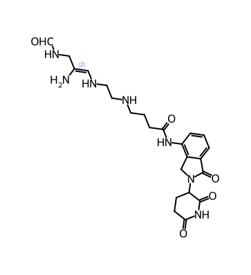 N/C(=C\NCCNCCCC(=O)Nc1cccc2c1CN(C1CCC(=O)NC1=O)C2=O)CNC=O